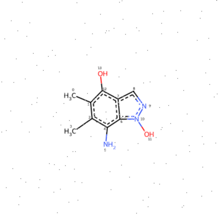 Cc1c(C)c(N)c2c(cnn2O)c1O